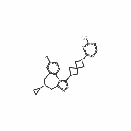 FC(F)(F)c1ccnc(N2CC3(CC(c4nnc5n4-c4ccc(Cl)cc4CN(C4CC4)C5)C3)C2)n1